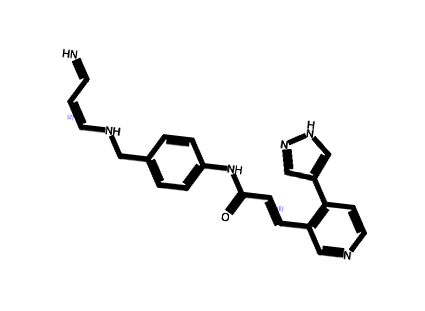 N=C/C=C\NCc1ccc(NC(=O)/C=C/c2cnccc2-c2cn[nH]c2)cc1